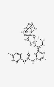 Cc1ccc(OC(=O)Oc2cccc([C@@H]3CCC[C@]4(C3)OOC3(O4)C4CC5CC(C4)CC3C5)c2)cc1